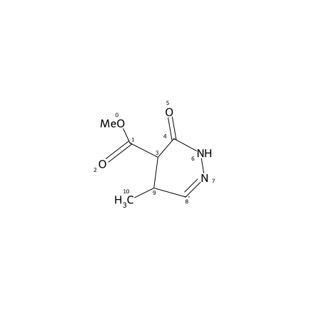 COC(=O)C1C(=O)NN=[C]C1C